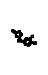 O=C1CC(Nc2ccc(Cl)c(Cl)c2)CO1